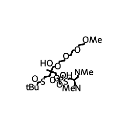 CNCC(CNC)CSP(=O)(O)OCC(C)(C(=O)CSC(=O)C(C)(C)C)C(O)OCCOCCOCCOC